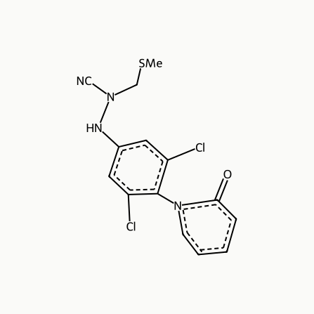 CSCN(C#N)Nc1cc(Cl)c(-n2ccccc2=O)c(Cl)c1